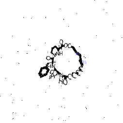 CC(C)[C@@H]1NC(=O)CCCC/C=C/C=C/CCOC(=O)[C@@H]2CCCN(N2)C(=O)[C@H](Cc2ccccc2)NC1=O